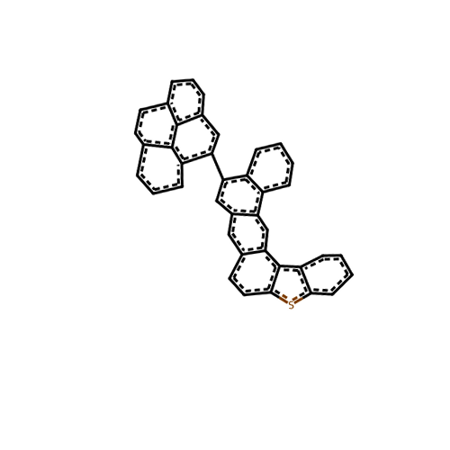 c1cc2ccc3cccc4c(-c5cc6cc7ccc8sc9ccccc9c8c7cc6c6ccccc56)cc(c1)c2c34